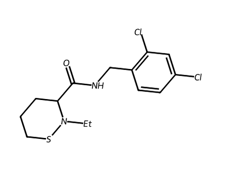 CCN1SCCCC1C(=O)NCc1ccc(Cl)cc1Cl